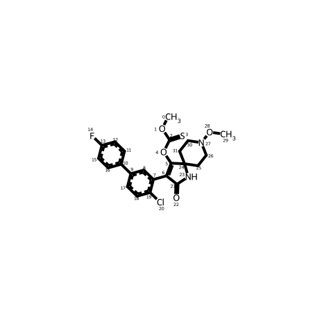 COC(=S)OC1=C(c2cc(-c3ccc(F)cc3)ccc2Cl)C(=O)NC12CCN(OC)CC2